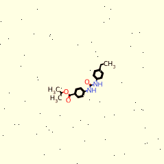 CCc1ccc(NC(=O)Nc2ccc(C(=O)OC(C)C)cc2)cc1